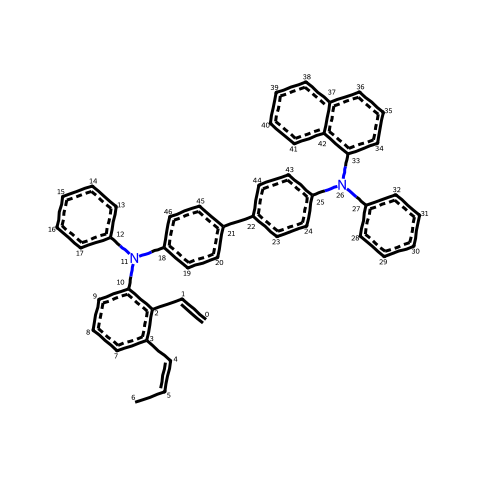 C=Cc1c(/C=C\C)cccc1N(c1ccccc1)c1ccc(-c2ccc(N(c3ccccc3)c3cccc4ccccc34)cc2)cc1